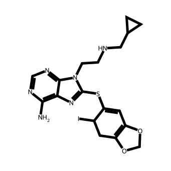 Nc1ncnc2c1nc(SC1=CC3=C(CC1I)OCO3)n2CCNCC1CC1